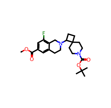 COC(=O)c1cc(F)c2c(c1)CCN(C1CCC13CCN(C(=O)OC(C)(C)C)CC3)C2